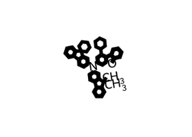 CC1(C)c2ccccc2-c2ccc(N(c3ccc4c(c3)C3(CCCCC3)c3ccccc3-4)c3cc(C4CCCCC4)c4c(c3)oc3ccccc34)cc21